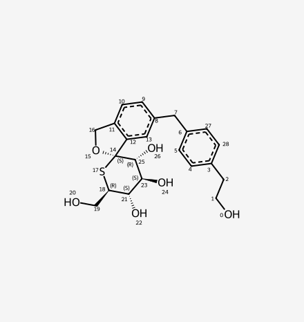 OCCc1ccc(Cc2ccc3c(c2)[C@]2(OC3)S[C@H](CO)[C@@H](O)[C@H](O)[C@H]2O)cc1